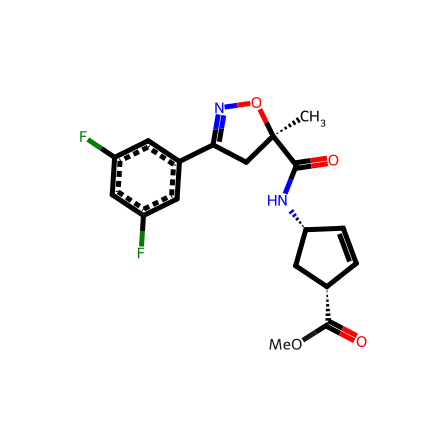 COC(=O)[C@H]1C=C[C@@H](NC(=O)[C@@]2(C)CC(c3cc(F)cc(F)c3)=NO2)C1